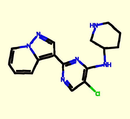 Clc1cnc(-c2cnn3ccccc23)nc1NC1CCCNC1